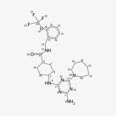 Nc1nc(NC2CCC(C(=O)NCc3ccccc3OC(F)(F)F)CC2)nc(N2CCCCCC2)n1